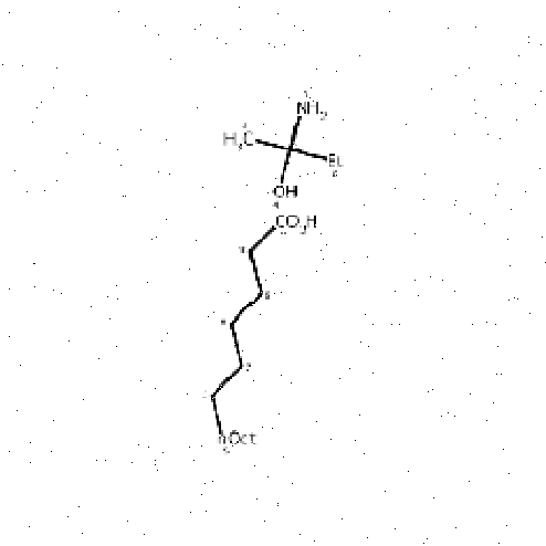 CCC(C)(N)O.CCCCCCCCCCCCCC(=O)O